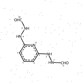 O=CNNc1cccc(NNC=O)n1